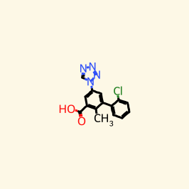 Cc1c(C(=O)O)cc(-n2cnnn2)cc1-c1ccccc1Cl